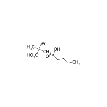 CC(C)C(C)(C)C(=O)O.CCCCC(=O)O